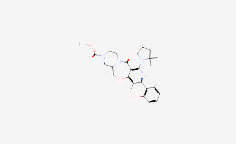 CC(C)(C)OC(=O)N1CCN2C(=O)c3c(N4CCCC4(C)C)nc(-c4c(O)cccc4F)c(Cl)c3OC[C@H]2C1